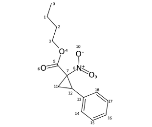 CCCCOC(=O)C1([N+](=O)[O-])CC1c1ccccc1